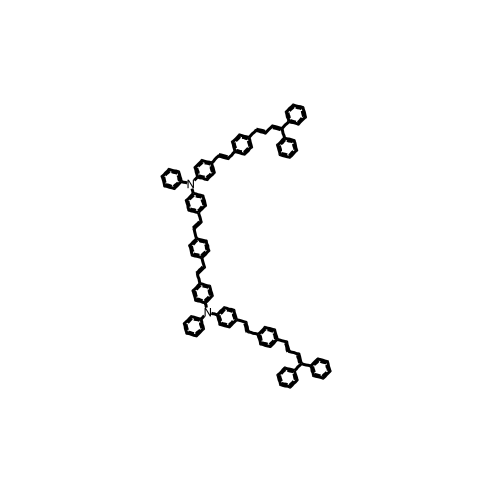 C(=Cc1ccc(C=Cc2ccc(N(c3ccccc3)c3ccc(C=Cc4ccc(C=Cc5ccc(N(c6ccccc6)c6ccc(C=Cc7ccc(C=CC=C(c8ccccc8)c8ccccc8)cc7)cc6)cc5)cc4)cc3)cc2)cc1)C=C(c1ccccc1)c1ccccc1